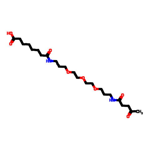 CC(=O)CCC(=O)NCCCOCCOCCOCCCNC(=O)CCCCCCC(=O)O